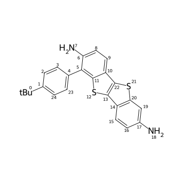 CC(C)(C)c1ccc(-c2c(N)ccc3c2sc2c4ccc(N)cc4sc32)cc1